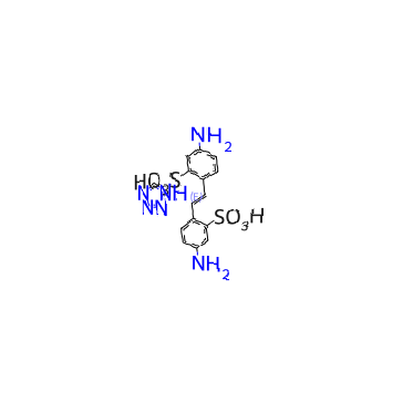 Nc1ccc(/C=C/c2ccc(N)cc2S(=O)(=O)O)c(S(=O)(=O)O)c1.c1nnn[nH]1